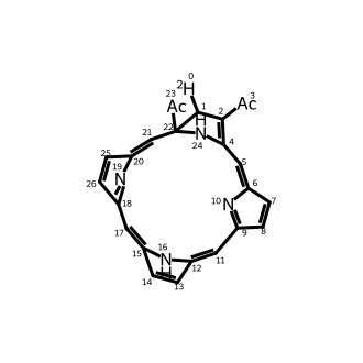 [2H]C1C(C(C)=O)=C2C=C3C=CC(=N3)C=c3ccc([nH]3)=CC3=NC(=CC1(C(C)=O)N2)C=C3